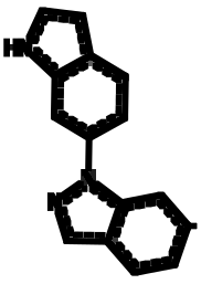 [c]1ccc2cnn(-c3ccc4cc[nH]c4c3)c2c1